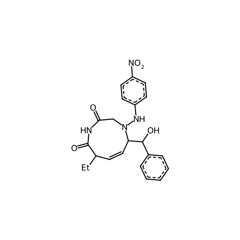 CCC1/C=C\C(C(O)c2ccccc2)N(Nc2ccc([N+](=O)[O-])cc2)CC(=O)NC1=O